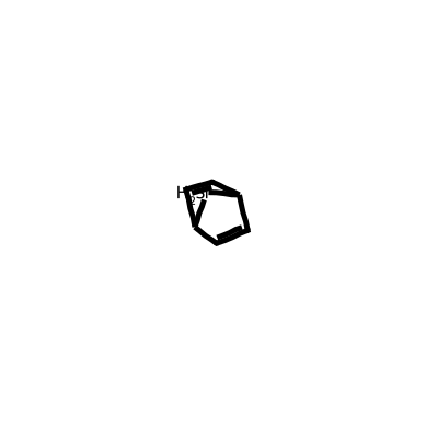 C1=CC2C=CC1[SiH2]2